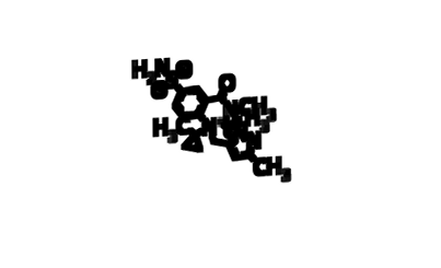 Cc1cc(C[N+]2(C3(C)CC3)C(=O)N(C)C(=O)c3cc(S(N)(=O)=O)ccc32)n(C)n1